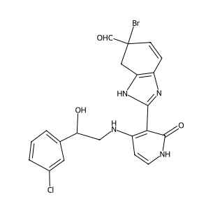 O=CC1(Br)C=Cc2nc(-c3c(NCC(O)c4cccc(Cl)c4)cc[nH]c3=O)[nH]c2C1